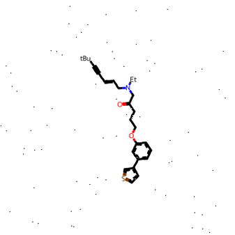 CCN(CC=CC#CC(C)(C)C)CC(=O)CCCOc1cccc(-c2ccsc2)c1